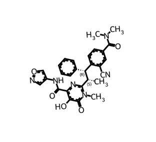 C[C@H](c1nc(C(=O)Nc2cnoc2)c(O)c(=O)n1C)[C@H](c1ccccc1)c1ccc(C(=O)N(C)C)cc1C#N